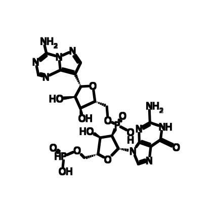 Nc1nc2c(ncn2[C@@H]2O[C@H](CO[PH](=O)O)[C@@H](O)[C@H]2P(=O)(O)OC[C@H]2O[C@@H](c3cnn4c(N)ncnc34)[C@H](O)[C@@H]2O)c(=O)[nH]1